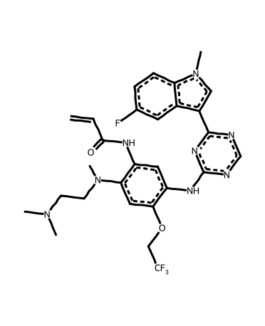 C=CC(=O)Nc1cc(Nc2ncnc(-c3cn(C)c4ccc(F)cc34)n2)c(OCC(F)(F)F)cc1N(C)CCN(C)C